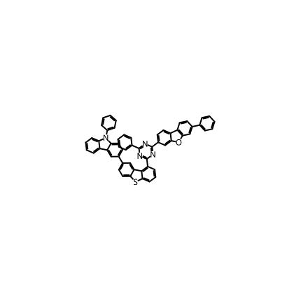 c1ccc(-c2ccc3c(c2)oc2cc(-c4nc(-c5ccccc5)nc(-c5cccc6sc7ccc(-c8ccc9c(c8)c8ccccc8n9-c8ccccc8)cc7c56)n4)ccc23)cc1